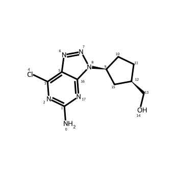 Nc1nc(Cl)c2nnn([C@H]3CC[C@@H](CO)C3)c2n1